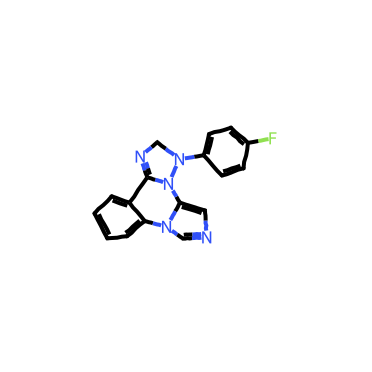 Fc1ccc(N2CN=C3c4ccccc4-n4cncc4N32)cc1